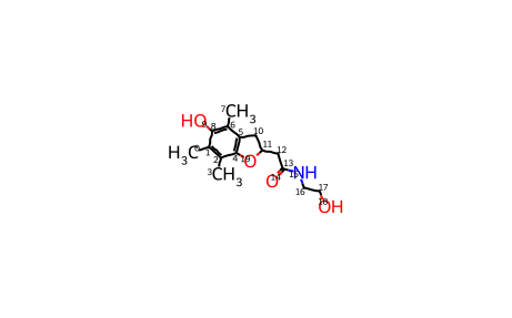 Cc1c(C)c2c(c(C)c1O)CC(CC(=O)NCCO)O2